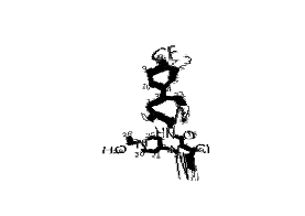 Cc1cc(-c2ccc(C(F)(F)F)cc2)cnc1NC(=O)c1c(Cl)cnn1C1CCN(C(C)O)CC1